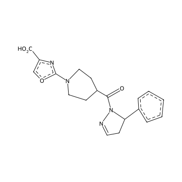 O=C(O)c1coc(N2CCC(C(=O)N3N=CCC3c3ccccc3)CC2)n1